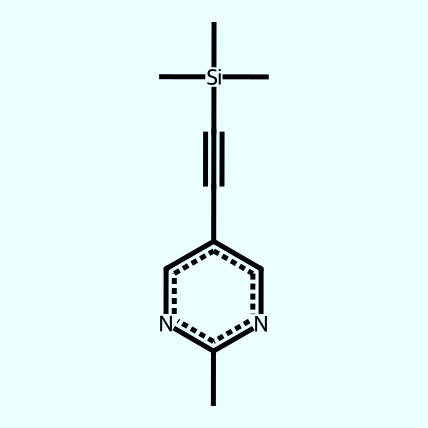 Cc1ncc(C#C[Si](C)(C)C)cn1